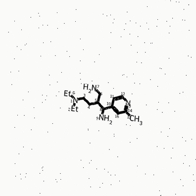 CCN(CC)CCC(CN)C(N)c1ccnc(C)c1